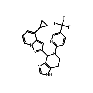 FC(F)(F)c1ccc(N2CCc3[nH]cnc3C2c2cc3c(C4CC4)cccn3n2)nc1